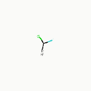 CCC(F)Cl.[H+]